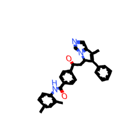 CC1=C(c2ccccc2)C(CC(=O)c2ccc(C(=O)Nc3ccc(C)cc3C)cc2)n2cncc21